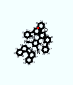 N#Cc1c(-n2c3ccccc3c3ccccc32)c(-c2ccc3oc4ccccc4c3c2)c(-n2c3ccccc3c3ccccc32)c(C#N)c1-n1c2ccc3ccccc3c2c2c3ccccc3ccc21